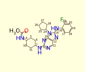 CC(=O)NC1CCC(Nc2ncc3nc(Nc4ccccc4F)n(C4CCCC4)c3n2)CC1